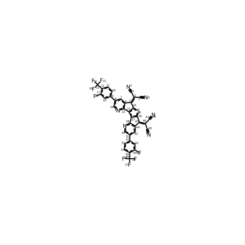 N#CC(C#N)=C1c2cc(-c3ccc(C(F)(F)F)c(F)c3)cnc2-c2c1sc1c2-c2ncc(-c3ccc(C(F)(F)F)c(F)c3)cc2C1=C(C#N)C#N